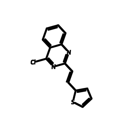 Clc1nc(C=Cc2cccs2)nc2ccccc12